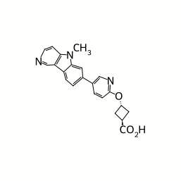 Cn1c2ccncc2c2ccc(-c3ccc(O[C@H]4C[C@H](C(=O)O)C4)nc3)cc21